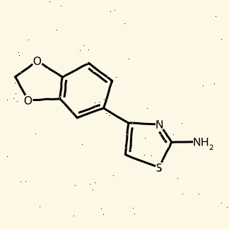 Nc1nc(-c2ccc3c(c2)OCO3)cs1